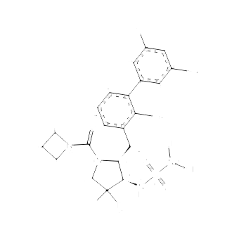 Cc1cc(F)cc(-c2cccc(C[C@H]3[C@@H](NS(=O)(=O)N(C)C)C(F)(F)CN3C(=O)N3CCC3)c2F)c1